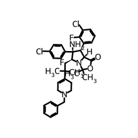 CC(C)(C[C@@H]1N2[C@@H](C(=O)OC2(C)C)[C@H](c2cccc(Cl)c2F)[C@@]1(N)c1ccc(Cl)cc1F)C1=CCN(Cc2ccccc2)CC1